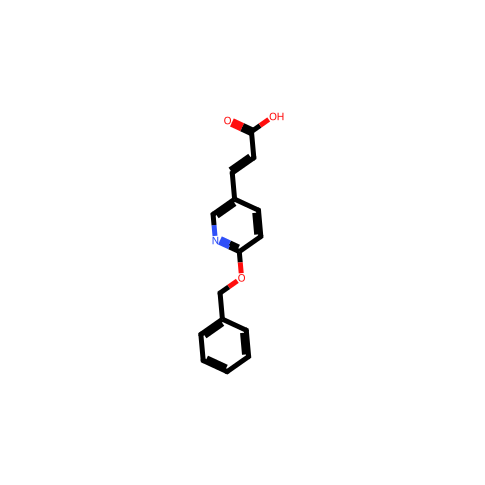 O=C(O)/C=C/c1ccc(OCc2ccccc2)nc1